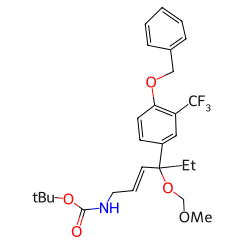 CCC(C=CCNC(=O)OC(C)(C)C)(OCOC)c1ccc(OCc2ccccc2)c(C(F)(F)F)c1